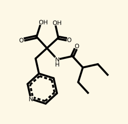 CCC(CC)C(=O)NC(Cc1cccnc1)(C(=O)O)C(=O)O